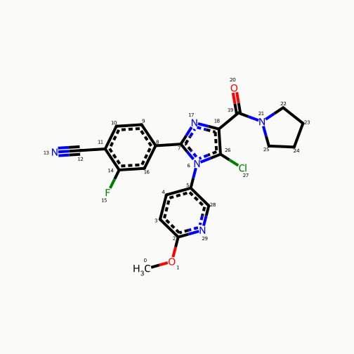 COc1ccc(-n2c(-c3ccc(C#N)c(F)c3)nc(C(=O)N3CCCC3)c2Cl)cn1